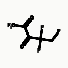 O=C(C(=O)C(F)(F)CF)C(F)(F)F